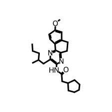 CCCC(C)Cc1nc2c(nc1NC(=O)CC1CCCCC1)CCc1cc(OC)ccc1-2